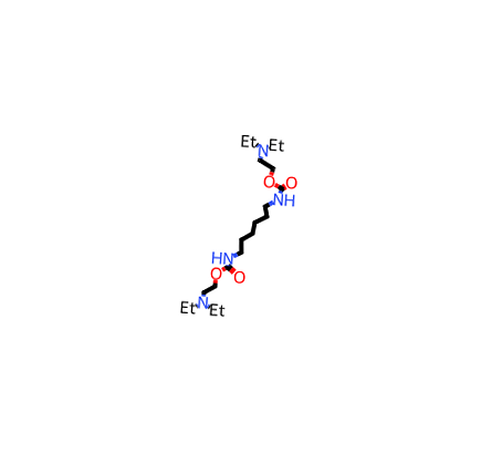 CCN(CC)CCOC(=O)NCCCCCCNC(=O)OCCN(CC)CC